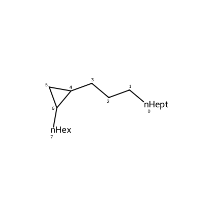 [CH2]CCCCCCCCCC1CC1CCCCCC